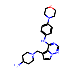 NC1CCN(Cc2ccn3ncnc(Nc4ccc(N5CCOCC5)cc4)c23)CC1